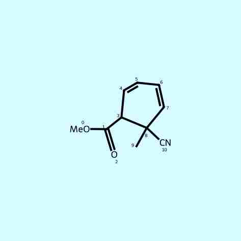 COC(=O)C1C=CC=CC1(C)C#N